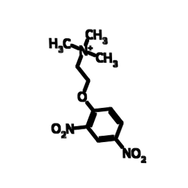 C[N+](C)(C)CCOc1ccc([N+](=O)[O-])cc1[N+](=O)[O-]